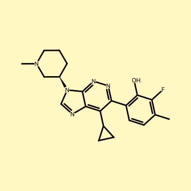 Cc1ccc(-c2nnc3c(ncn3[C@@H]3CCCN(C)C3)c2C2CC2)c(O)c1F